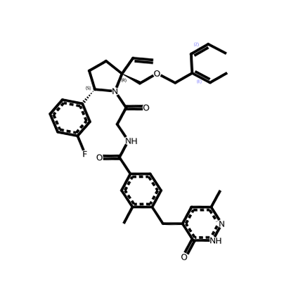 C=C[C@@]1(COCC(/C=C\C)=C/C)CC[C@@H](c2cccc(F)c2)N1C(=O)CNC(=O)c1ccc(Cc2cc(C)n[nH]c2=O)c(C)c1